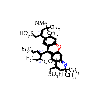 C=C/C=C(C1=c2cc3c(cc2Oc2ccc(/C(=C\C(C)(C)NC)CS(=O)(=O)O)cc21)=NC(C)(C)C=C3CS(=O)(=O)O)\C(=C/C)C(=O)O